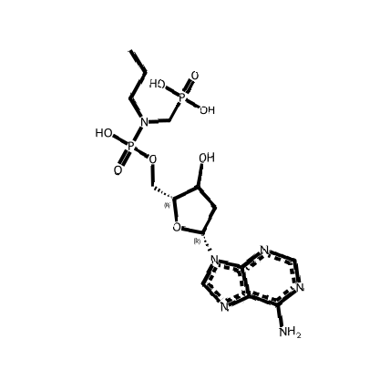 CCCN(CP(=O)(O)O)P(=O)(O)OC[C@H]1O[C@@H](n2cnc3c(N)ncnc32)CC1O